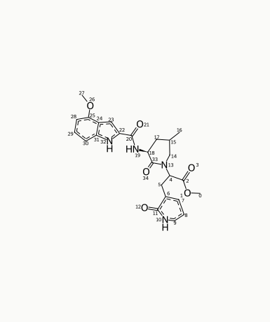 COC(=O)C(Cc1ccc[nH]c1=O)N1CC(C)C[C@H](NC(=O)c2cc3c(OC)cccc3[nH]2)C1=O